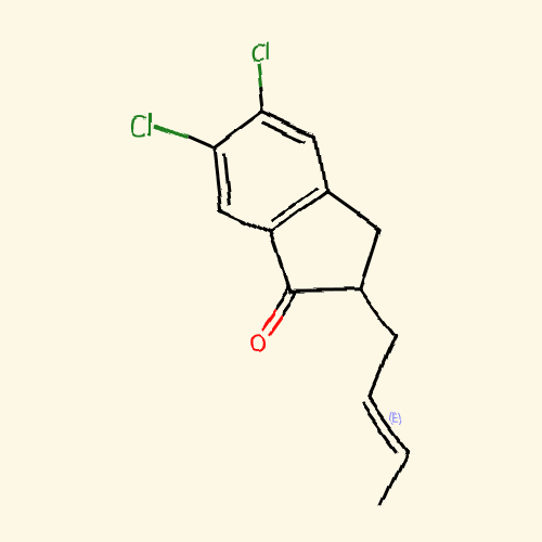 C/C=C/CC1Cc2cc(Cl)c(Cl)cc2C1=O